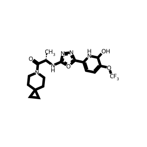 C[C@H](Nc1nnc(C2=CC=C(OC(F)(F)F)C(O)N2)o1)C(=O)N1CCC2(CC1)CC2